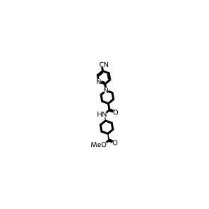 COC(=O)[C@H]1CC[C@H](NC(=O)C2CCN(c3ccc(C#N)cn3)CC2)CC1